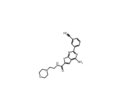 C#Cc1cccc(-c2nc(N)c3cc(C(=O)NCCN4CCOCC4)sc3n2)c1